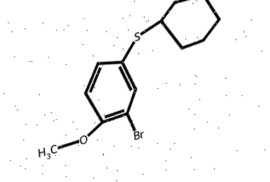 COc1ccc(SC2CCCCC2)cc1Br